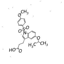 COc1ccc(S(=O)(=O)n2cc(CCC(=O)O)c3cc(OC(C)C)ccc32)cc1